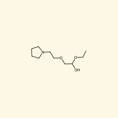 CCOC(O)COCCN1CCCC1